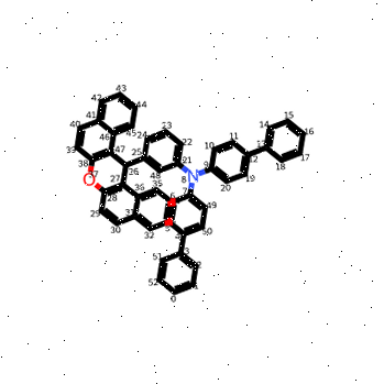 c1ccc(-c2ccc(N(c3ccc(-c4ccccc4)cc3)c3cccc(C4c5c(ccc6ccccc56)Oc5ccc6ccccc6c54)c3)cc2)cc1